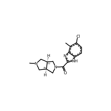 Cc1c(Cl)ccc2[nH]c(C(=O)N3C[C@H]4CN(C)C[C@H]4C3)nc12